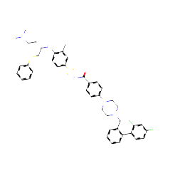 Cc1cc(S(=O)(=O)NC(=O)c2ccc(N3CCN(Cc4ccccc4-c4ccc(Cl)cc4Cl)CC3)cc2)ccc1N[C@H](CCN(C)C)CSc1ccccc1